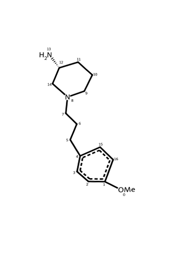 COc1ccc(CCCN2CCC[C@@H](N)C2)cc1